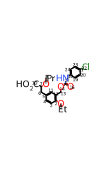 CCOc1ccc(CC(OC(C)C)C(=O)O)cc1COC(=O)Nc1ccc(Cl)cc1